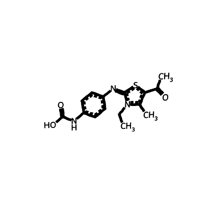 CCn1c(C)c(C(C)=O)sc1=Nc1ccc(NC(=O)O)cc1